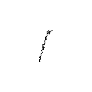 [C-]#[N+]CCCCCCCCCCCCCCCCCC